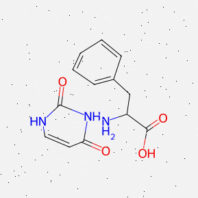 NC(Cc1ccccc1)C(=O)O.O=c1cc[nH]c(=O)[nH]1